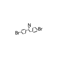 N#CC(=Cc1ccc(Br)cc1)c1ccc(Br)cc1